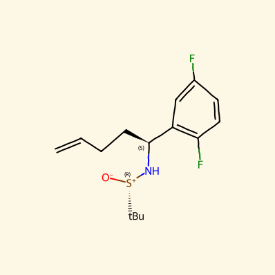 C=CCC[C@H](N[S@@+]([O-])C(C)(C)C)c1cc(F)ccc1F